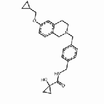 O=C(NCc1ccc(CN2CCc3cc(OCC4CC4)ccc3C2)cc1)C1(O)CC1